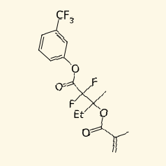 C=C(C)C(=O)OC(C)(CC)C(F)(F)C(=O)Oc1cccc(C(F)(F)F)c1